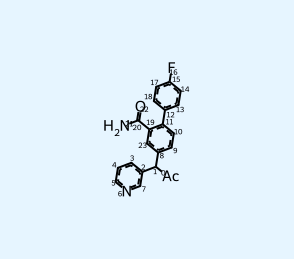 CC(=O)C(c1cccnc1)c1ccc(-c2ccc(F)cc2)c(C(N)=O)c1